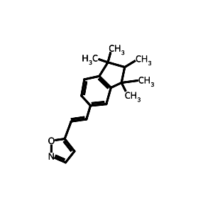 CC1C(C)(C)c2ccc(C=Cc3ccno3)cc2C1(C)C